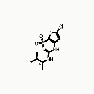 CC(C)[C@H](C)NC1=NS(=O)(=O)c2sc(Cl)cc2N1